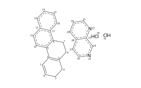 C1=CC2=C(CC1)CCc1c2ccc2ccccc12.Cl.Cl.c1cnc2cnccc2c1